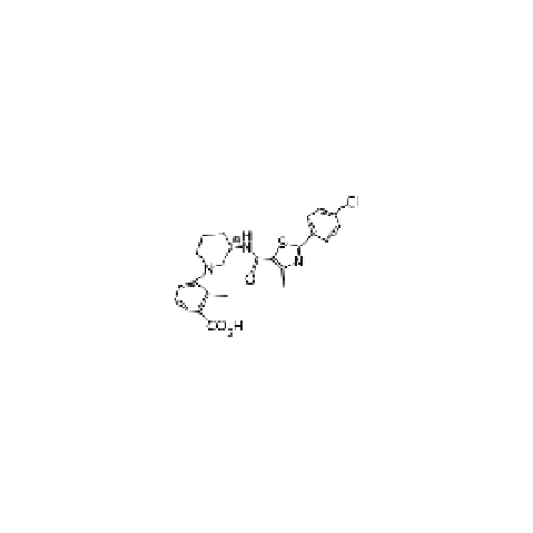 Cc1nc(-c2ccc(Cl)cc2)sc1C(=O)N[C@@H]1CCCN(c2cccc(C(=O)O)c2C)C1